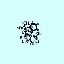 CC[N](CC)[Zr]([C]1=[C]([Ge]([CH3])([CH3])[F])C=CC1)([N](CC)CC)[N](CC)CC